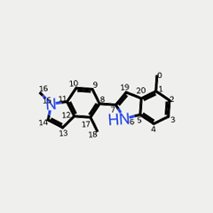 Cc1cccc2[nH]c(-c3ccc4c(ccn4C)c3C)cc12